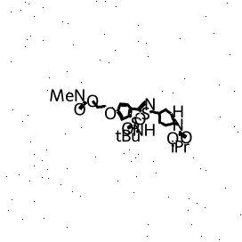 CNC(=O)OCCOc1ccc(-c2cnc(C3CCC(NC(=O)OC(C)C)CC3)s2)c(S(=O)(=O)NC(C)(C)C)c1